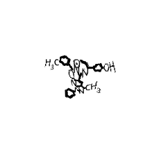 Cc1cccc(COc2nc3c(cc2C2=NOC=CC(c4ccc(O)cc4)=N2)c(C)nn3-c2ccccc2)c1